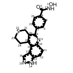 O=C(NO)c1ccc(-c2nc3ccc4[nH]ncc4c3c3c2CSCC3)cc1